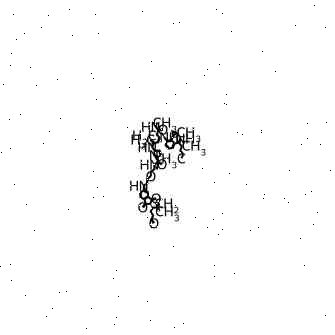 C=C(/C=C(/Nc1cccc(C(=N)C(C)CCC)c1C1CC1C)C(=C)C(=O)NC)NC1C=CC(C(=O)NCCOCCNc2ccc3c(c2)C(=O)[C@@H](C(CCC=O)C(=C)C)C3=O)=N1